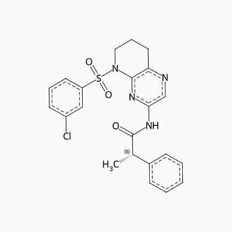 C[C@H](C(=O)Nc1cnc2c(n1)N(S(=O)(=O)c1cccc(Cl)c1)CCC2)c1ccccc1